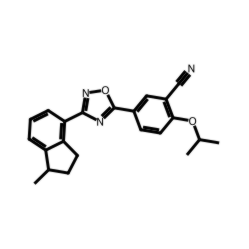 CC(C)Oc1ccc(-c2nc(-c3cccc4c3CCC4C)no2)cc1C#N